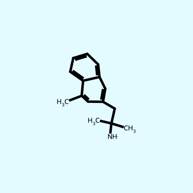 Cc1cc(CC(C)(C)[NH])cc2ccccc12